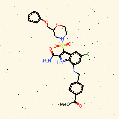 COC(=O)c1ccc(CNc2cc(Cl)cc3c(S(=O)(=O)N4CCOC(COc5ccccc5)C4)c(C(N)=O)[nH]c23)cc1